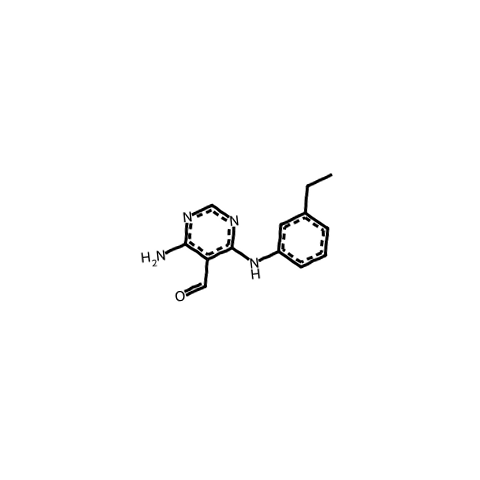 CCc1cccc(Nc2ncnc(N)c2C=O)c1